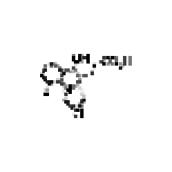 O=C(O)CCc1c(O)c2cccc(F)c2[n+]2ccccc12.[Cl-]